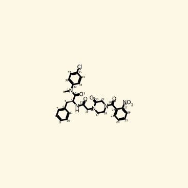 CN(C(=O)[C@H](Cc1ccccc1)NC(=O)CN1CCN(C(=O)c2ccccc2[N+](=O)[O-])CC1=O)c1ccc(Cl)cc1